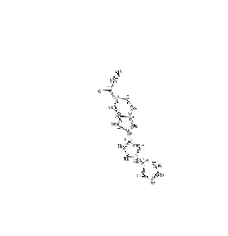 C/C(C#N)=c1/ccc2c/c(=c3/ccc(=C4SC=CS4)s3)sc2c1